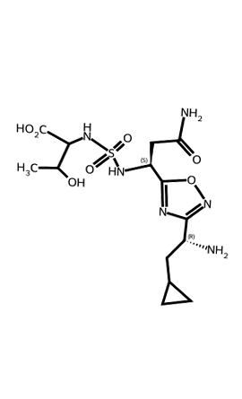 CC(O)C(NS(=O)(=O)N[C@@H](CC(N)=O)c1nc([C@H](N)CC2CC2)no1)C(=O)O